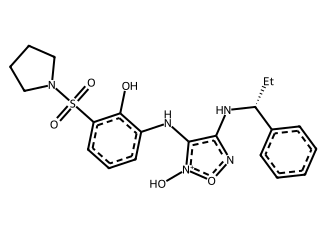 CC[C@@H](Nc1no[n+](O)c1Nc1cccc(S(=O)(=O)N2CCCC2)c1O)c1ccccc1